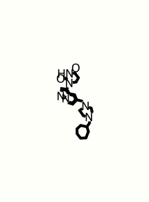 O=C1CCN(c2cnn3ccc(CN4CCN(CC5CCCCCC5)CC4)cc23)C(=O)N1